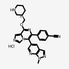 Cl.Cn1ncc2cc(-c3c(-c4ccc(C#N)cc4)nc(OC[C@@H]4CCCNC4)c4cncn34)cnc21